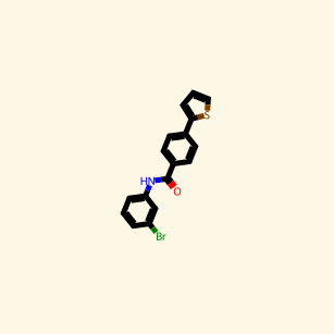 O=C(Nc1cccc(Br)c1)c1ccc(-c2cccs2)cc1